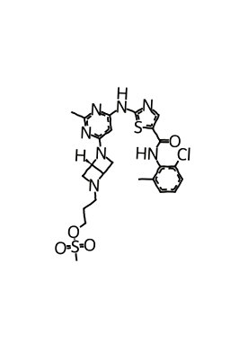 Cc1nc(Nc2ncc(C(=O)Nc3c(C)cccc3Cl)s2)cc(N2CC3[C@@H]2CN3CCCOS(C)(=O)=O)n1